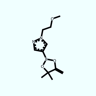 C=C1OB(c2cnn(CCOC)c2)OC1(C)C